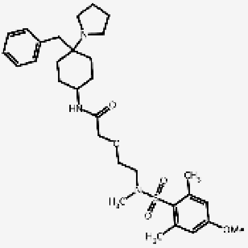 COc1cc(C)c(S(=O)(=O)N(C)CCOCC(=O)NC2CCC(Cc3ccccc3)(N3CCCC3)CC2)c(C)c1